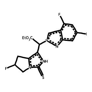 CCOC(=O)C(c1[nH]c(=S)n2c1CC(F)C2)n1cc2c(F)cc(I)cc2n1